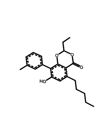 CCCCCc1cc(O)c(-c2cccc(C)c2)c2c1C(=O)OC(CC)O2